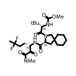 CNC(=O)C(=O)[C@H](CCC(C)(F)F)NC(=O)[C@@H]1CC2(CCCCC2)CN1C(=O)[C@@H](NC(=O)OC)C(C)(C)C